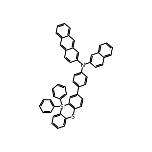 c1ccc([Si]2(c3ccccc3)c3ccccc3Sc3ccc(-c4ccc(N(c5ccc6ccccc6c5)c5ccc6cc7ccccc7cc6c5)cc4)cc32)cc1